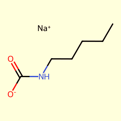 CCCCCNC(=O)[O-].[Na+]